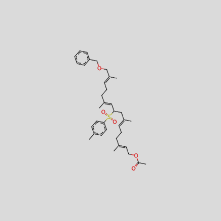 CC(=O)OCC=C(C)CCC=C(C)CC(C=C(C)CCC=C(C)COCc1ccccc1)S(=O)(=O)c1ccc(C)cc1